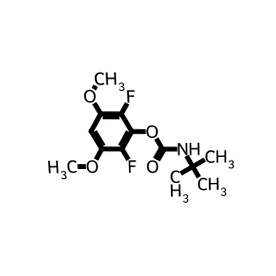 COc1cc(OC)c(F)c(OC(=O)NC(C)(C)C)c1F